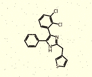 Clc1cccc(-c2nc(Cc3ccsc3)[nH]c2-c2ccccc2)c1Cl